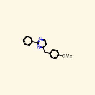 COc1ccc(Cc2ccnc(-c3ccccc3)n2)cc1